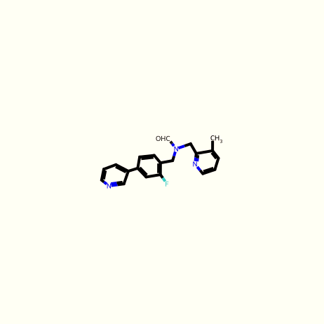 Cc1cccnc1CN(C=O)Cc1ccc(-c2cccnc2)cc1F